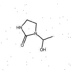 [CH2]C(O)N1CCNC1=O